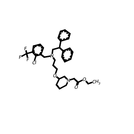 CCOC(=O)CN1CCCC(OCCCN(Cc2cccc(C(F)(F)F)c2Cl)CC(c2ccccc2)c2ccccc2)C1